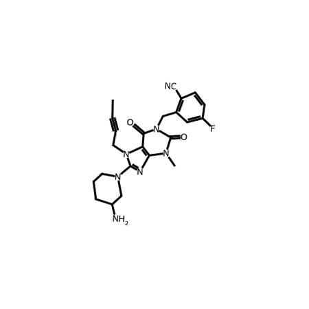 CC#CCn1c(N2CCCC(N)C2)nc2c1c(=O)n(Cc1cc(F)ccc1C#N)c(=O)n2C